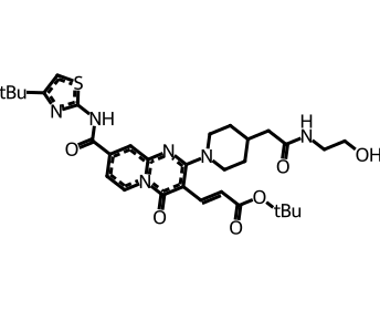 CC(C)(C)OC(=O)/C=C/c1c(N2CCC(CC(=O)NCCO)CC2)nc2cc(C(=O)Nc3nc(C(C)(C)C)cs3)ccn2c1=O